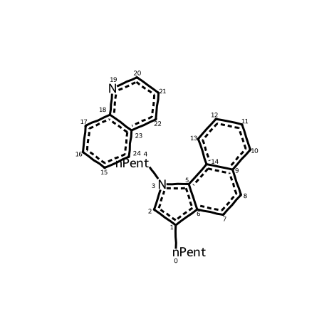 CCCCCc1cn(CCCCC)c2c1ccc1ccccc12.c1ccc2ncccc2c1